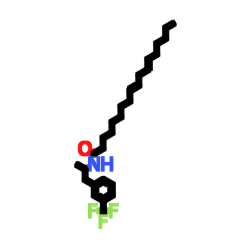 CCCCCC=CCC=CCCCCCCCC(=O)NC(C)Cc1cccc(C(F)(F)F)c1